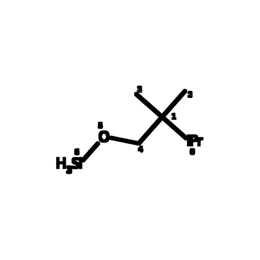 CC(C)C(C)(C)CO[SiH3]